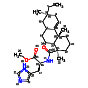 CC[C@@]1(C)CC=C2C(CCC3[C@](C)(C(=O)N[C@@H](Cc4cnc[nH]4)C(=O)OC)CCC[C@@]23C)C1